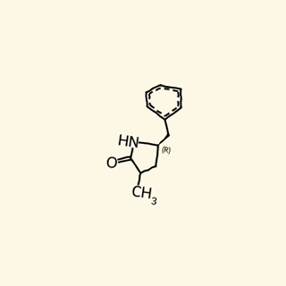 CC1C[C@H](Cc2ccccc2)NC1=O